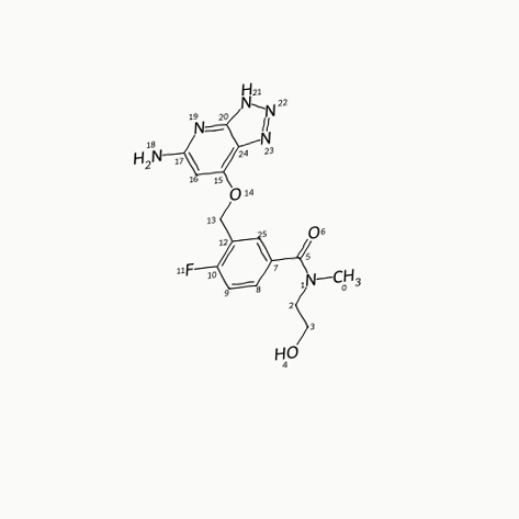 CN(CCO)C(=O)c1ccc(F)c(COc2cc(N)nc3[nH]nnc23)c1